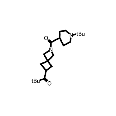 CC(C)(C)C(=O)C1CC2(C1)CN(C(=O)C1CCN(C(C)(C)C)CC1)C2